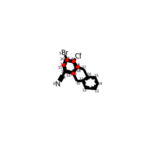 N#Cc1cc(Br)c(Cl)c2c1C1c3ccccc3C2c2ccccc21